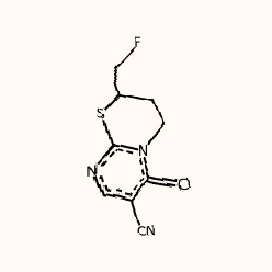 N#Cc1cnc2n(c1=O)CCC(CF)S2